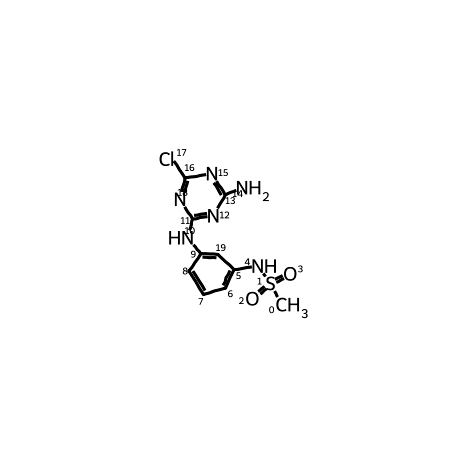 CS(=O)(=O)Nc1cccc(Nc2nc(N)nc(Cl)n2)c1